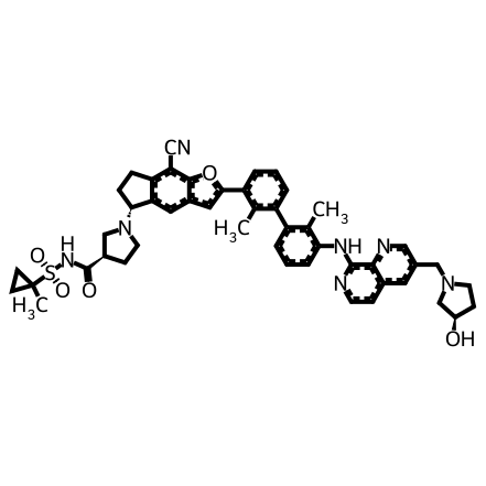 Cc1c(Nc2nccc3cc(CN4CC[C@@H](O)C4)cnc23)cccc1-c1cccc(-c2cc3cc4c(c(C#N)c3o2)CC[C@H]4N2CC[C@@H](C(=O)NS(=O)(=O)C3(C)CC3)C2)c1C